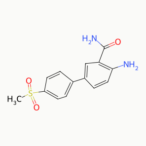 CS(=O)(=O)c1ccc(-c2ccc(N)c(C(N)=O)c2)cc1